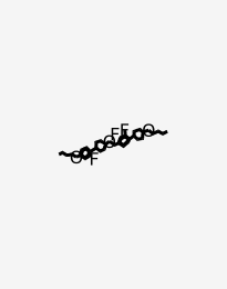 CCCCOc1ccc(C2CCC(OCc3ccc(C4CCC(OCCCC)CC4)c(F)c3F)CC2)c(F)c1